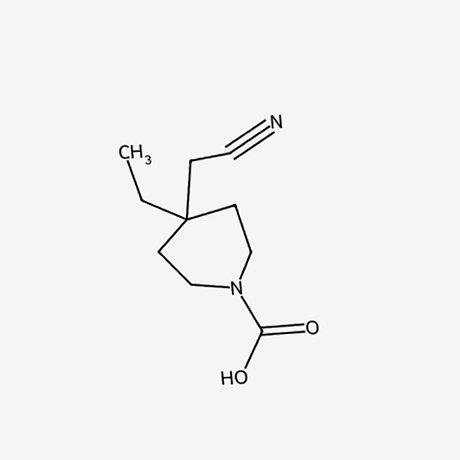 CCC1(CC#N)CCN(C(=O)O)CC1